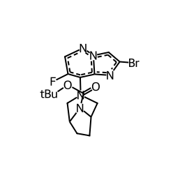 CC(C)(C)OC(=O)N1C2CCC1CN(c1c(F)cnn3cc(Br)nc13)C2